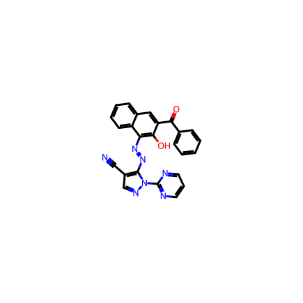 N#Cc1cnn(-c2ncccn2)c1/N=N/c1c(O)c(C(=O)c2ccccc2)cc2ccccc12